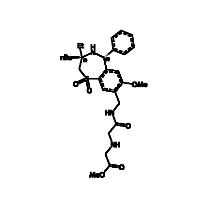 CCCC[C@]1(CC)CS(=O)(=O)c2cc(CNC(=O)CNCC(=O)OC)c(OC)cc2[C@@H](c2ccccc2)N1